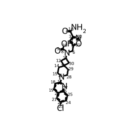 NC(=O)c1cc(CN(C(=O)O)C2CC3(CCN(c4ccc5cc(Cl)ccc5n4)CC3)C2)on1